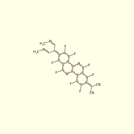 C\N=C/C(/C=N/C)=c1\c(F)c(F)c2c(c(F)nc3c2nc(F)c2c(F)c(=C(C#N)C#N)c(F)c(F)c23)c1F